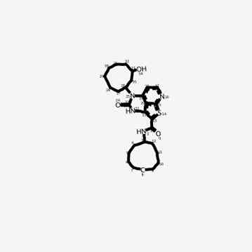 O=C(NC1CCCCCCCCC1)c1sc2nccc3c2c1NC(=O)N3C1CCCCCCC(O)C1